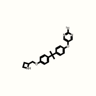 [2H]c1ncc(Oc2ccc(C(C)(C)c3ccc(OCC4CCN4)cc3)cc2)cn1